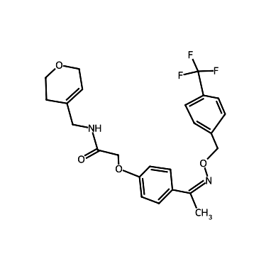 CC(=NOCc1ccc(C(F)(F)F)cc1)c1ccc(OCC(=O)NCC2=CCOCC2)cc1